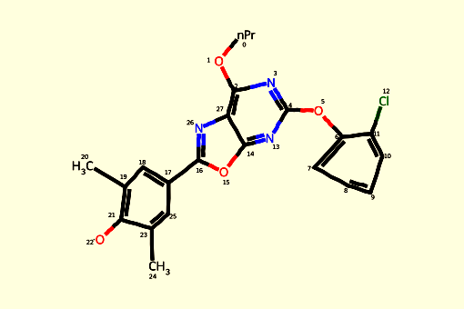 CCCOc1nc(Oc2ccccc2Cl)nc2oc(-c3cc(C)c([O])c(C)c3)nc12